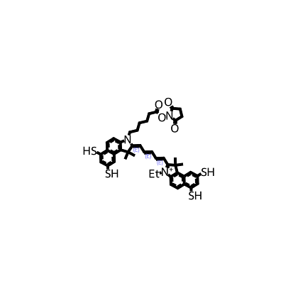 CC[N+]1=C(/C=C/C=C/C=C2/N(CCCCCC(=O)ON3C(=O)CCC3=O)c3ccc4c(S)cc(S)cc4c3C2(C)C)C(C)(C)c2c1ccc1c(S)cc(S)cc21